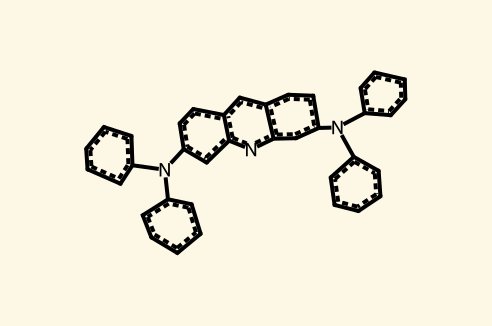 c1ccc(N(c2ccccc2)c2ccc3cc4ccc(N(c5ccccc5)c5ccccc5)cc4nc3c2)cc1